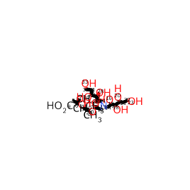 CC(C)(COC(C)(C)CC(=O)O)OCCN(CC(O)C(O)C(O)CCO)CC(O)C(O)C(O)CCO